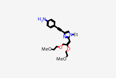 CCn1cc(C#Cc2ccc(N)cc2)nc1/C=C(\COCCOC)OCCOC